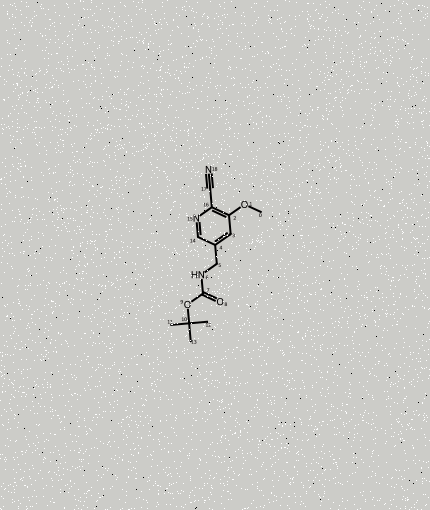 COc1cc(CNC(=O)OC(C)(C)C)cnc1C#N